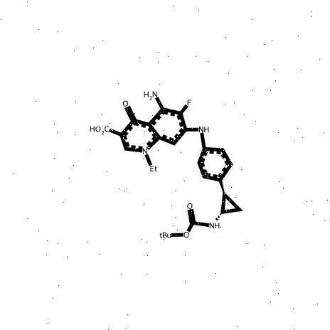 CCn1cc(C(=O)O)c(=O)c2c(N)c(F)c(Nc3ccc([C@H]4C[C@@H]4NC(=O)OC(C)(C)C)cc3)cc21